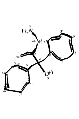 C=C(NN)C(O)(c1ccccc1)c1ccccc1